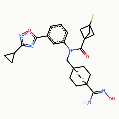 N/C(=N\O)C12CCC(CN(C(=O)C34CC(F)(C3)C4)c3cccc(-c4nc(C5CC5)no4)c3)(CC1)CC2